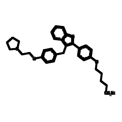 CCOC(=O)CCCCOc1ccc(-c2sc3ccccc3c2Cc2ccc(OCCN3CCCC3)cc2)cc1